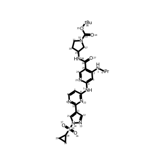 CC(C)Nc1cc(Nc2ccnc(-c3cnn(S(=O)(=O)C4CC4)c3)n2)ncc1C(=O)NC1CCN(C(=O)OC(C)(C)C)C1